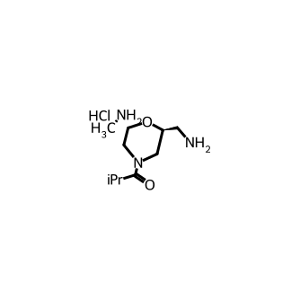 CC(C)C(=O)N1CCO[C@@H](CN)C1.CN.Cl